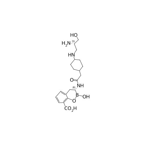 N[C@H](CO)CNC1CCC(CC(=O)N[C@H]2Cc3cccc(C(=O)O)c3OB2O)CC1